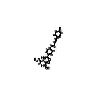 C[C@@H](N)[C@H](NC(=O)c1ccc(/C=C/C#Cc2ccc(F)cc2)cc1)C(=O)NO